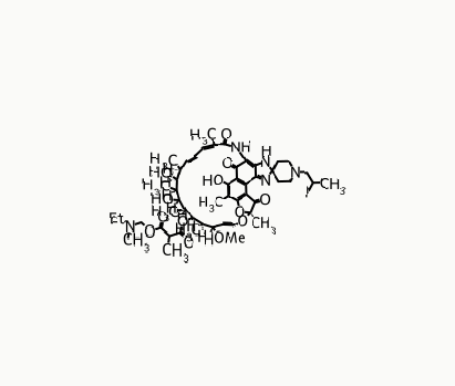 CCN(C)COC(=O)C(C)C(=O)O[C@H]1[C@H](C)[C@H](O)[C@H](C)[C@@H](O)[C@@H](C)/C=C/C=C(/C)C(=O)NC2=C3NC4(CCN(CC(C)I)CC4)N=C3c3c(c(O)c(C)c4c3C(=O)[C@@](C)(O/C=C/[C@H](OC)[C@H]1C)O4)C2=O